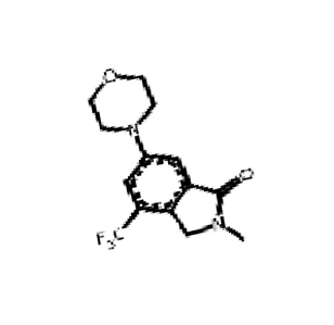 CN1Cc2c(cc(N3CCOCC3)cc2C(F)(F)F)C1=O